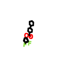 O=C(Oc1ccc(F)c(F)c1)C1CCC(C2CCCCC2)CC1